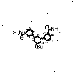 CC(C)(C)c1cc(-c2cccc(C(N)=O)c2)cc(-c2cccc(C(N)=O)c2)c1